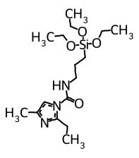 CCO[Si](CCCNC(=O)n1cc(C)nc1CC)(OCC)OCC